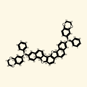 c1ccc(N(c2ccc3c(c2)OCCO3)c2ccc3c(ccc4c5ccc6oc7c8ccc(N(c9ccccc9)c9ccc%10c(c9)OCCO%10)cc8ccc7c6c5oc34)c2)cc1